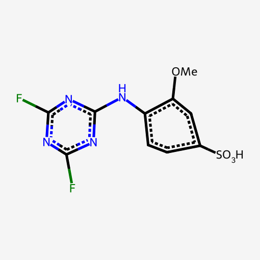 COc1cc(S(=O)(=O)O)ccc1Nc1nc(F)nc(F)n1